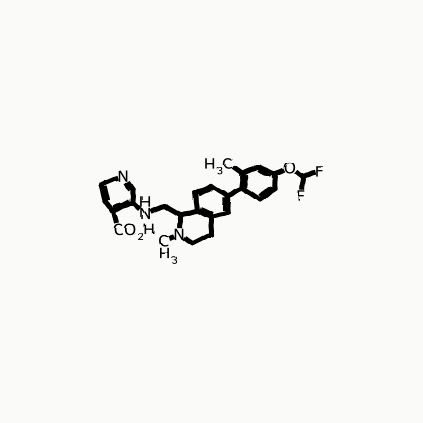 Cc1cc(OC(F)F)ccc1-c1ccc2c(c1)CCN(C)C2CNc1cnccc1C(=O)O